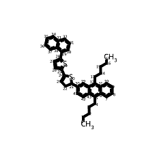 CCCCCc1c2ccccc2c(CCCCC)c2cc(C3CC=C(c4ccc(-c5cccc6ccccc56)s4)S3)ccc12